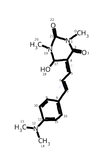 CN1C(=O)/C(=C/C=C/c2ccc(N(C)C)cc2)C(O)N(C)C1=O